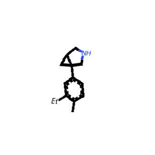 CCc1cc(C23CNCC2C3)ccc1C